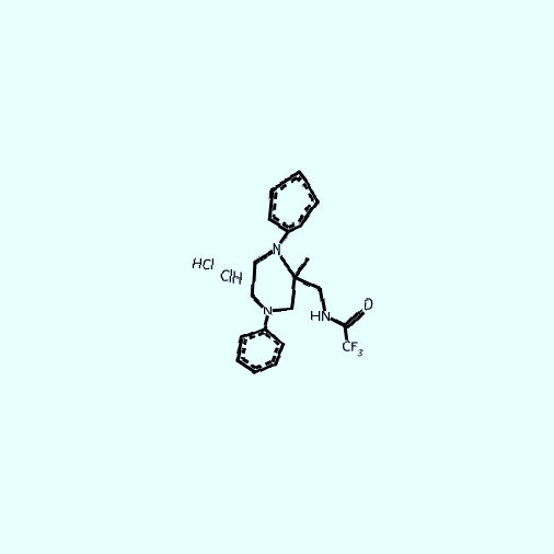 CC1(CNC(=O)C(F)(F)F)CN(c2ccccc2)CCN1c1ccccc1.Cl.Cl